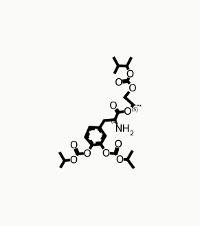 CC(C)OC(=O)Oc1ccc(C[C@H](N)C(=O)O[C@@H](C)COC(=O)OC(C)C(C)C)cc1OC(=O)OC(C)C